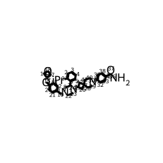 CC(C)c1ccccc1C1CN(Cc2ccc(OC3COC3)cc2)CCN1C1CC2(CCN(c3ccc(C(N)=O)cc3)CC2)C1